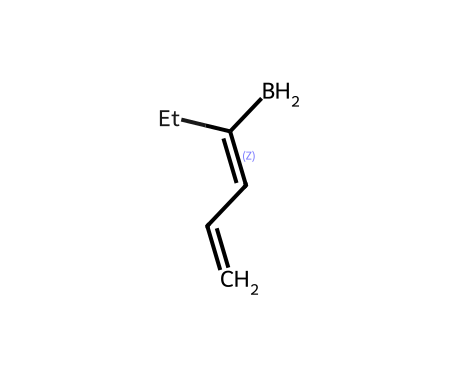 B/C(=C/C=C)CC